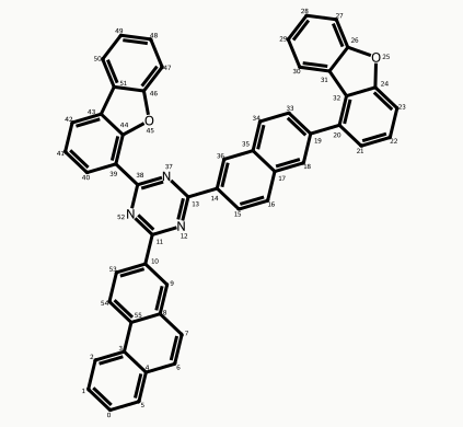 c1ccc2c(c1)ccc1cc(-c3nc(-c4ccc5cc(-c6cccc7oc8ccccc8c67)ccc5c4)nc(-c4cccc5c4oc4ccccc45)n3)ccc12